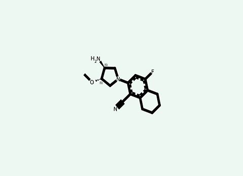 CO[C@H]1CN(c2cc(F)c3c(c2C#N)CCCC3)C[C@@H]1N